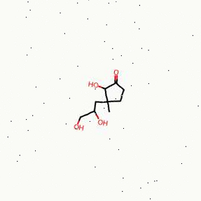 CC1(CC(O)CO)CCC(=O)C1O